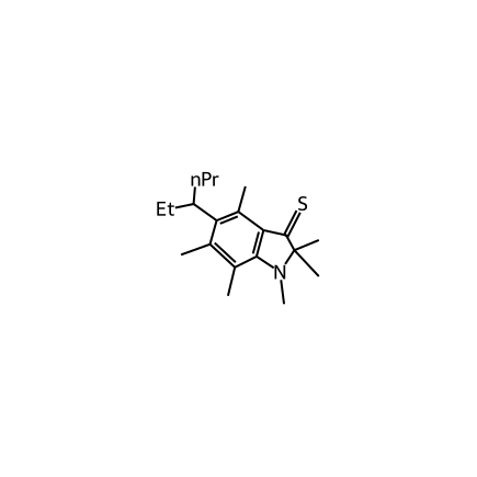 CCCC(CC)c1c(C)c(C)c2c(c1C)C(=S)C(C)(C)N2C